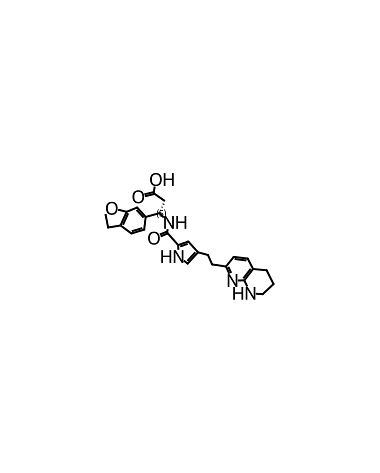 O=C(O)C[C@H](NC(=O)c1cc(CCc2ccc3c(n2)NCCC3)c[nH]1)c1ccc2c(c1)OCC2